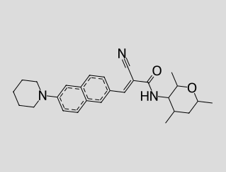 CC1CC(C)C(NC(=O)/C(C#N)=C/c2ccc3cc(N4CCCCC4)ccc3c2)C(C)O1